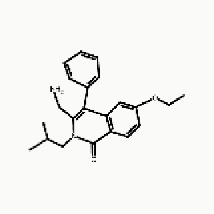 CCOc1ccc2c(=O)n(CC(C)C)c(CN)c(-c3ccccc3)c2c1